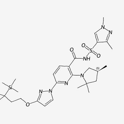 Cc1nn(C)cc1S(=O)(=O)NC(=O)c1ccc(-n2ccc(OCCC3([Si](C)(C)C)CC3)n2)nc1N1C[C@@H](C)CC1(C)C